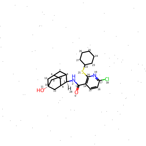 O=C(N[C@H]1C2CC3CC1C[C@](O)(C3)C2)c1ccc(Cl)nc1SC1CCCCC1